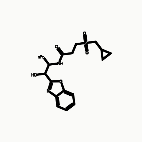 CCCC(NC(=O)CCS(=O)(=O)CC1CC1)C(O)c1nc2ccccc2o1